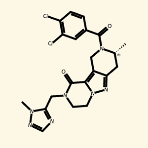 C[C@@H]1Cc2nn3c(c2CN1C(=O)c1ccc(Cl)c(Cl)c1)C(=O)N(Cc1ncnn1C)CC3